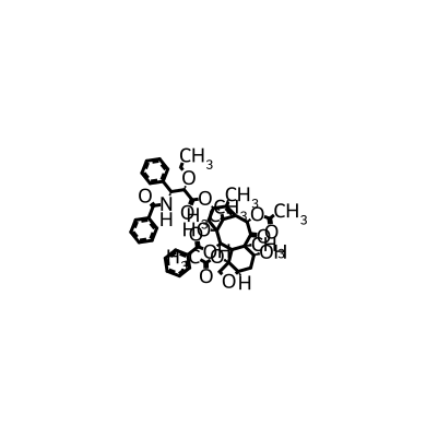 CCO[C@H](C(=O)O[C@H]1C[C@@]2(O)[C@H](OC(=O)c3ccccc3)[C@H]3[C@@]4(OC(C)=O)CO[C@@H]4C[C@H](O)[C@@]3(C)C(=O)[C@H](OC(C)=O)C(=C1C)C2(C)C)[C@H](NC(=O)c1ccccc1)c1ccccc1